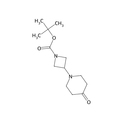 CC(C)(C)OC(=O)N1CC(N2CCC(=O)CC2)C1